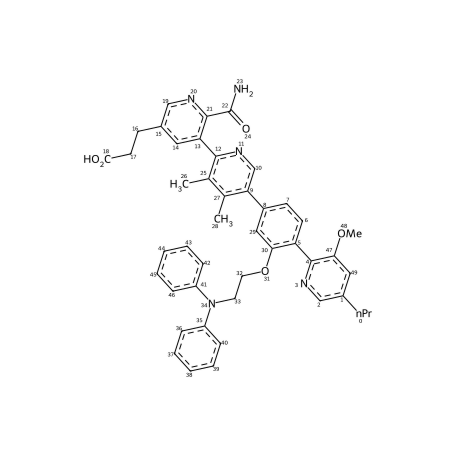 CCCc1cnc(-c2ccc(-c3cnc(-c4cc(CCC(=O)O)cnc4C(N)=O)c(C)c3C)cc2OCCN(c2ccccc2)c2ccccc2)c(OC)c1